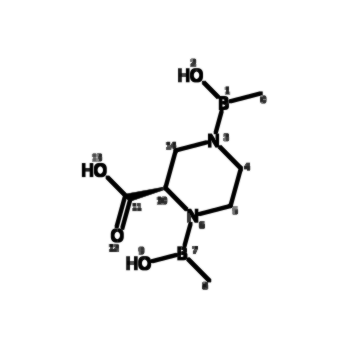 CB(O)N1CCN(B(C)O)[C@@H](C(=O)O)C1